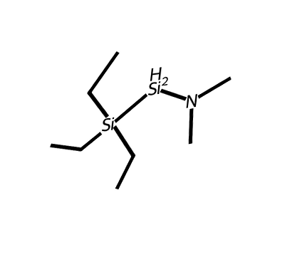 CC[Si](CC)(CC)[SiH2]N(C)C